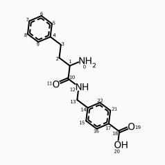 NC(CCc1ccccc1)C(=O)NCc1ccc(C(=O)O)cc1